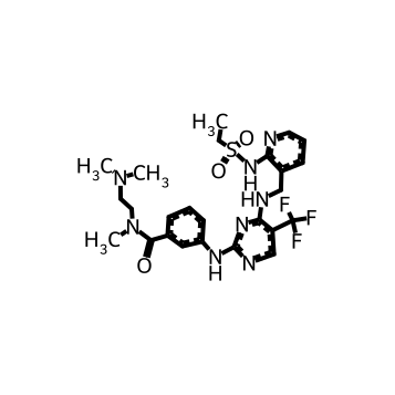 CCS(=O)(=O)Nc1ncccc1CNc1nc(Nc2cccc(C(=O)N(C)CCN(C)C)c2)ncc1C(F)(F)F